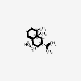 C=C(C)[C@@H]1CCC2=CCC[C@@H](C)[C@]2(C)C1.OO